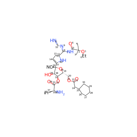 CCOC(C)(C)C(=O)N/C(=N/C=N)c1ccc([C@]2(C#N)O[C@H](COC(=O)CC3CCCCC3)[C@@H](OC(=O)[C@@H](N)C(C)C)[C@H]2O)[nH]1